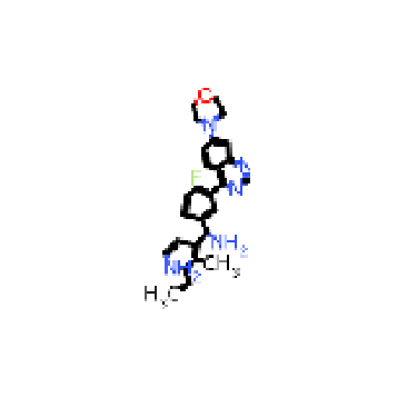 CCC/C(C)=C(\C=C/N)C(N)c1ccc(F)c(-c2ncnc3cc(N4CCOCC4)ccc23)c1